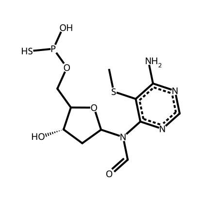 CSc1c(N)ncnc1N(C=O)C1C[C@H](O)C(COP(O)S)O1